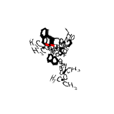 CC(C)OC(=O)[C@H](C)/N=[P+](\[O-])Oc1ccc2ccccc2c1OC[C@@]1(F)O[C@@H](n2ccc(=O)[nH]c2=O)[C@](C)(F)[C@@H]1OP(=O)(N[C@@H](C)C(=O)OC(C)C)Oc1ccc2ccccc2c1